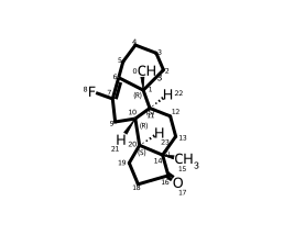 C[C@]12CCCCC1=C(F)C[C@@H]1[C@@H]2CC[C@]2(C)C(=O)CC[C@@H]12